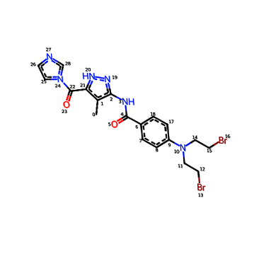 Cc1c(NC(=O)c2ccc(N(CCBr)CCBr)cc2)n[nH]c1C(=O)n1ccnc1